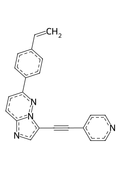 C=Cc1ccc(-c2ccc3ncc(C#Cc4ccncc4)n3n2)cc1